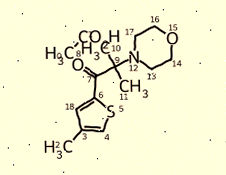 CC(=O)O.Cc1csc(C(=O)C(C)(C)N2CCOCC2)c1